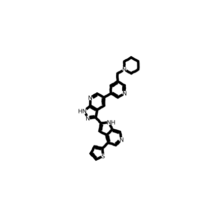 c1csc(-c2cncc3[nH]c(-c4n[nH]c5ncc(-c6cncc(CN7CCCCC7)c6)cc45)cc23)c1